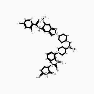 COc1cc2nn([C@H]3CC[C@H](CN(C)C4CCN(c5cccc6c5n(C)c(=O)n6C5CCC(=O)NC5=O)CC4)CC3)cc2cc1NC(=O)c1ncc(F)cc1F